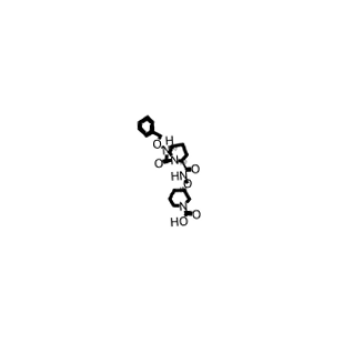 O=C(NO[C@H]1CCCN(C(=O)O)C1)[C@@H]1CC[C@@H]2CN1C(=O)N2OCc1ccccc1